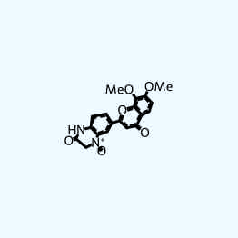 COc1ccc2c(=O)cc(-c3ccc4c(c3)[N+](=O)CC(=O)N4)oc2c1OC